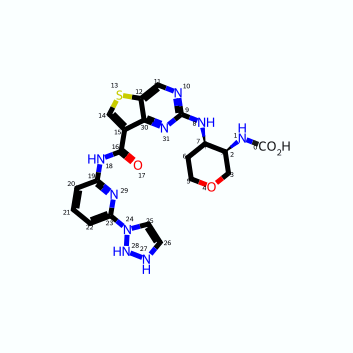 O=C(O)N[C@H]1COCC[C@H]1Nc1ncc2scc(C(=O)Nc3cccc(N4C=CNN4)n3)c2n1